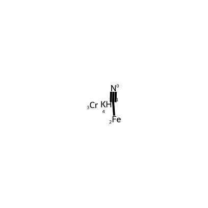 N#[C][Fe].[Cr].[KH]